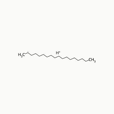 C[CH]CCCCCCCCCCCCCCCC.[H+]